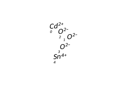 [Cd+2].[O-2].[O-2].[O-2].[Sn+4]